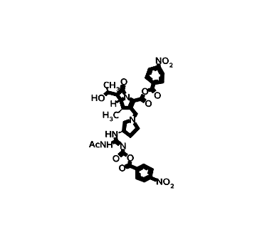 CC(=O)NC(=NC(=O)OC(=O)c1ccc([N+](=O)[O-])cc1)N[C@H]1CCN(CC2=C(C(=O)OC(=O)c3ccc([N+](=O)[O-])cc3)N3C(=O)C([C@@H](C)O)[C@H]3[C@H]2C)C1